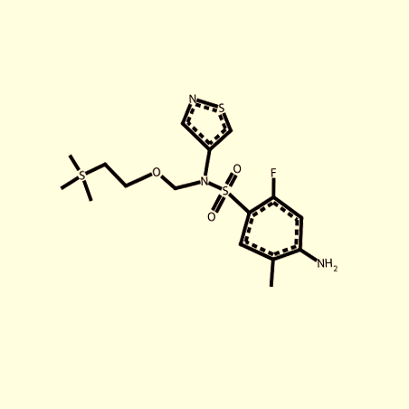 Cc1cc(S(=O)(=O)N(COCCS(C)(C)C)c2cnsc2)c(F)cc1N